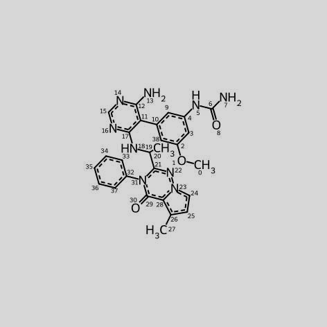 COc1cc(NC(N)=O)cc(-c2c(N)ncnc2NC(C)c2nn3ccc(C)c3c(=O)n2-c2ccccc2)c1